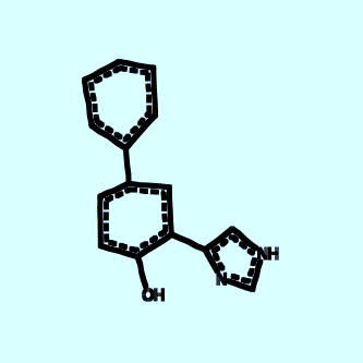 Oc1ccc(-c2ccccc2)cc1-c1c[nH]cn1